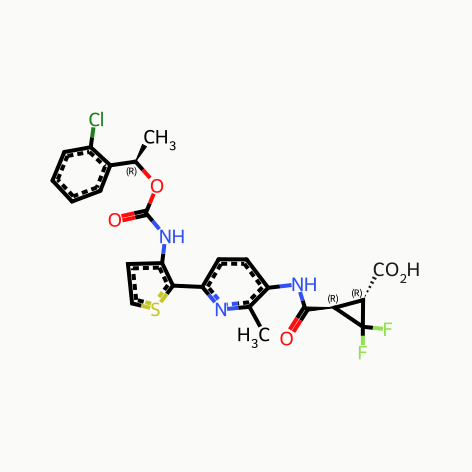 Cc1nc(-c2sccc2NC(=O)O[C@H](C)c2ccccc2Cl)ccc1NC(=O)[C@H]1[C@H](C(=O)O)C1(F)F